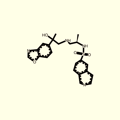 C[C@H](CNCC(C)(O)c1ccc2ocnc2c1)NS(=O)(=O)c1ccc2cnccc2c1